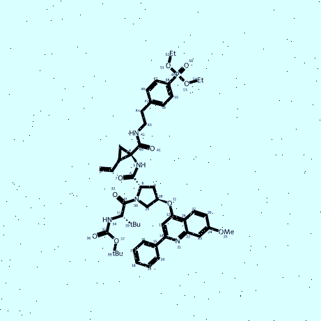 C=CC1C[C@]1(NC(=O)[C@@H]1C[C@@H](Oc2cc(-c3ccccc3)nc3cc(OC)ccc23)CN1C(=O)[C@@H](NC(=O)OC(C)(C)C)C(C)(C)C)C(=O)NCCc1ccc(P(=O)(OCC)OCC)cc1